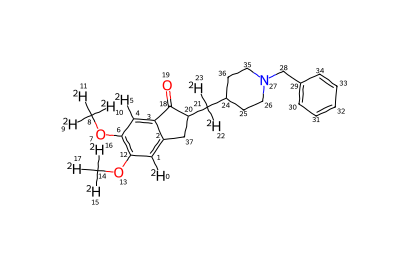 [2H]c1c2c(c([2H])c(OC([2H])([2H])[2H])c1OC([2H])([2H])[2H])C(=O)C(C([2H])([2H])C1CCN(Cc3ccccc3)CC1)C2